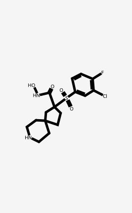 O=C(NO)C1(S(=O)(=O)c2ccc(F)c(Cl)c2)CCC2(CCNCC2)C1